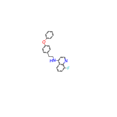 Fc1cccc2c(NCCc3ccc(Oc4ccccc4)cc3)ccnc12